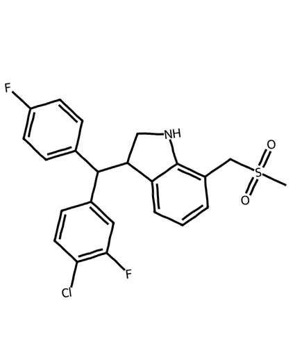 CS(=O)(=O)Cc1cccc2c1NCC2C(c1ccc(F)cc1)c1ccc(Cl)c(F)c1